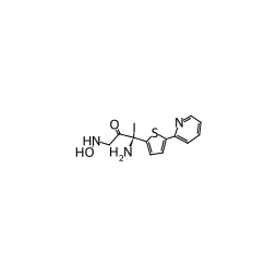 N[C@](I)(C(=O)CNO)c1ccc(-c2ccccn2)s1